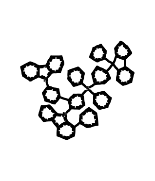 c1ccc(-c2cccc3c4ccccc4n(-c4ccc(S(c5ccccc5)(c5ccccc5)c5ccc(C6(c7ccccc7)c7ccccc7-c7ccccc76)cc5)cc4-c4cccc(-n5c6ccccc6c6ccccc65)c4)c23)cc1